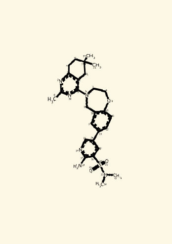 Cc1nc2c(c(N3CCOc4ccc(-c5cnc(N)c(S(=O)(=O)N(C)C)c5)cc4C3)n1)CC(C)(C)CC2